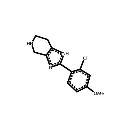 COc1ccc(-c2nc3c([nH]2)CCNC3)c(Cl)c1